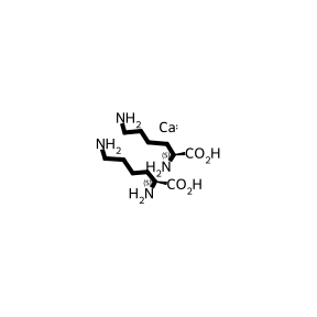 NCCCC[C@H](N)C(=O)O.NCCCC[C@H](N)C(=O)O.[Ca]